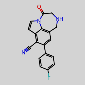 N#Cc1c(-c2ccc(F)cc2)cc2c3c1ccn3C(=O)CNC2